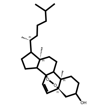 CC(C)CCC[C@@H](C)C1CCC2C34C=C[C@]5(CC(O)CC[C@]5(C)C3CC[C@]12C)OO4